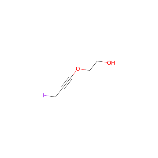 OCCOC#CCI